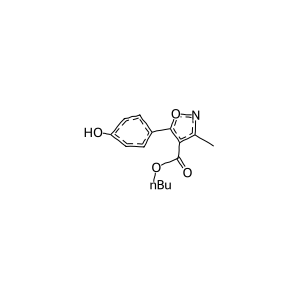 CCCCOC(=O)c1c(C)noc1-c1ccc(O)cc1